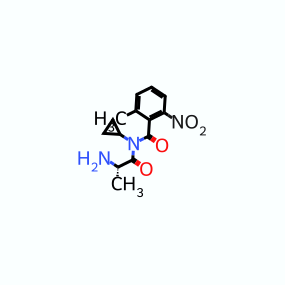 Cc1cccc([N+](=O)[O-])c1C(=O)N(C(=O)[C@H](C)N)C1CC1